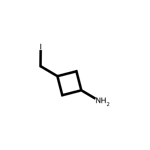 NC1CC(CI)C1